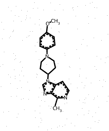 COc1ccc(N2CCC(n3cnc4c(C)nccc43)CC2)cc1